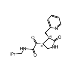 CC(C)CNC(=O)C(=O)[C@H]1CNC(=O)[C@@H]1Cc1ccccn1